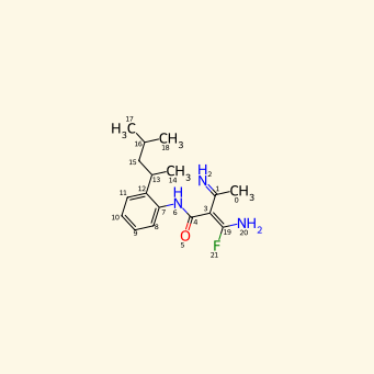 CC(=N)/C(C(=O)Nc1ccccc1C(C)CC(C)C)=C(\N)F